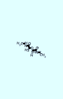 CCNC(=O)C(S)OC(S)C(=O)NCC